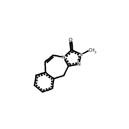 Cn1nc2n(c1=O)C=Cc1ccccc1C2